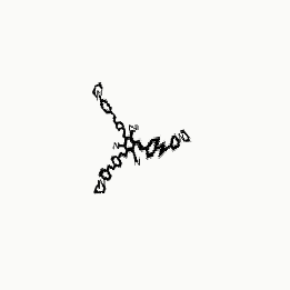 N#Cc1c(C=Cc2ccc(C=Cc3ccc(N4CCCCC4)cc3)cc2)c(C#N)c(C=Cc2ccc(C=Cc3ccc(N4CCCCC4)cc3)cc2)c(C#N)c1C=Cc1ccc(C=Cc2ccc(N3CCCCC3)cc2)cc1